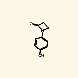 N#Cc1ccc(N2CCC2=O)cc1